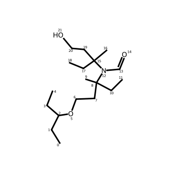 CCC(CC)OCCC(C)(CC)N(C=O)C(C)(CC)CCO